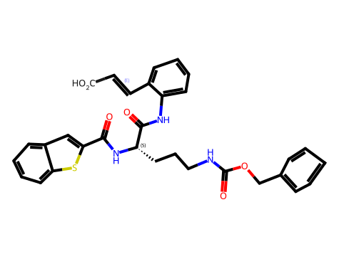 O=C(O)/C=C/c1ccccc1NC(=O)[C@H](CCCNC(=O)OCc1ccccc1)NC(=O)c1cc2ccccc2s1